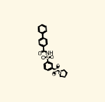 O=C(NS(=O)(=O)c1cccc(S(=O)(=O)N2CCCC2)c1)c1ccc(-c2ccccc2)cc1